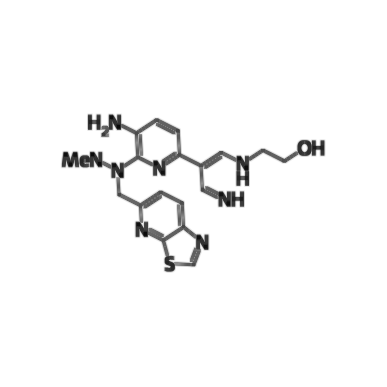 CNN(Cc1ccc2ncsc2n1)c1nc(/C(C=N)=C/NCCO)ccc1N